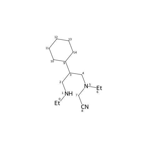 CCNCC(CN(CC)CC#N)C1CCCCC1